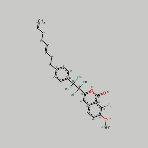 C=CCC/C=C/CCc1ccc(C(F)(F)C(F)(F)c2cc3ccc(OCCC)c(F)c3c(=O)o2)cc1